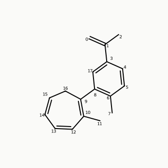 C=C(C)c1ccc(C)c(C2=C(C)C=CC=CC2)c1